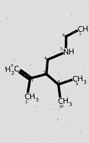 C=C(C)C(CNCC)C(C)C